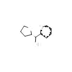 OC(c1ccccn1)[C@H]1CCCO1